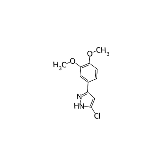 COc1ccc(-c2cc(Cl)[nH]n2)cc1OC